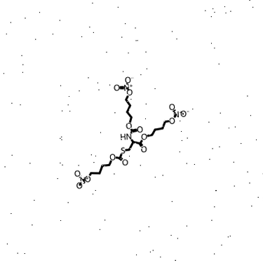 O=C(NC(CSC(=O)OCCCCO[N+](=O)[O-])C(=O)OCCCCO[N+](=O)[O-])OCCCCO[N+](=O)[O-]